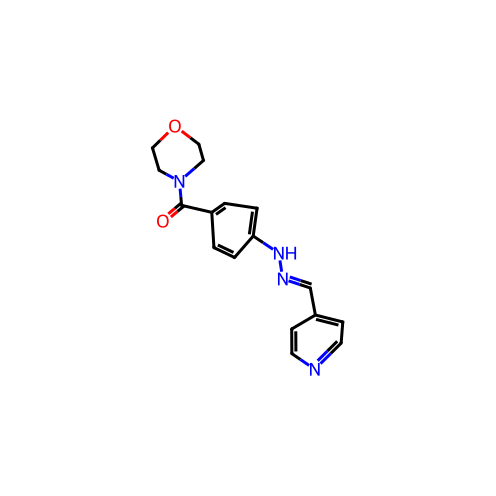 O=C(c1ccc(NN=Cc2ccncc2)cc1)N1CCOCC1